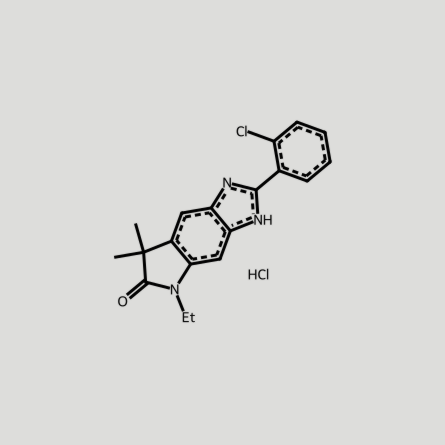 CCN1C(=O)C(C)(C)c2cc3nc(-c4ccccc4Cl)[nH]c3cc21.Cl